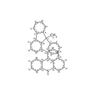 CC1(c2ccccc2)c2ccccc2-c2cccc(-c3ccc4cccc5c4c3-c3ccccc3S5)c21